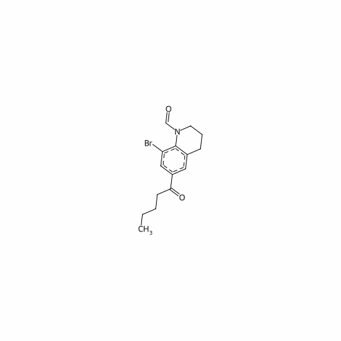 CCCCC(=O)c1cc(Br)c2c(c1)CCCN2C=O